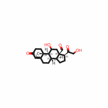 C[C@]12CCC(=O)C=C1CC[C@H]1[C@@H]3CC[C@H](C(=O)CO)[C@@]3(C=O)CC(O)[C@@H]12